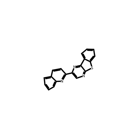 c1ccc2nc(-c3cnc4sc5ccccc5c4n3)ccc2c1